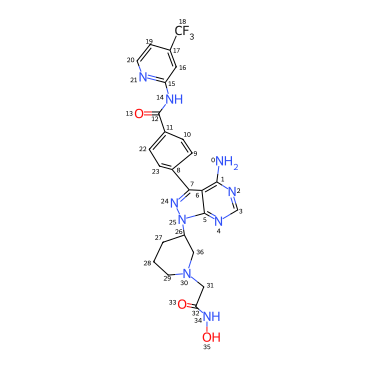 Nc1ncnc2c1c(-c1ccc(C(=O)Nc3cc(C(F)(F)F)ccn3)cc1)nn2C1CCCN(CC(=O)NO)C1